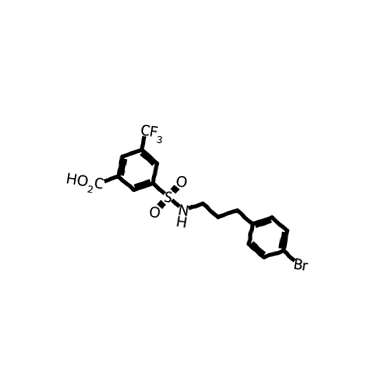 O=C(O)c1cc(C(F)(F)F)cc(S(=O)(=O)NCCCc2ccc(Br)cc2)c1